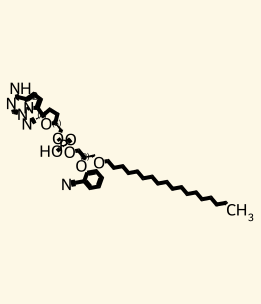 CCCCCCCCCCCCCCCCCCOC[C@H](COP(=O)(O)OC[C@@H]1CC[C@](C#N)(c2ccc3c(N)ncnn23)O1)Oc1ccccc1C#N